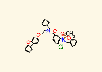 CS(=O)(=O)N(Cc1ccccc1)c1cc(C(=O)CN(CCOc2ccc3c(c2)oc2ccccc23)Cc2ccccc2)ccc1Cl